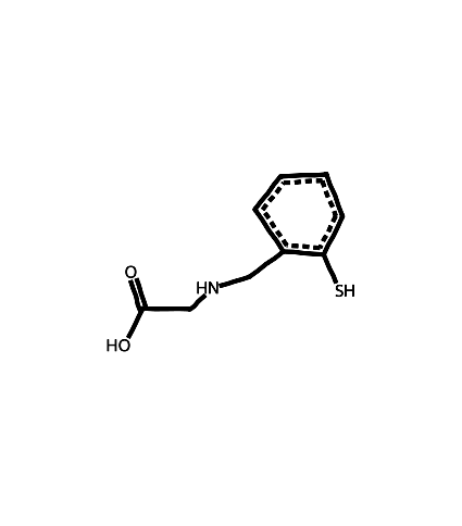 O=C(O)CNCc1ccccc1S